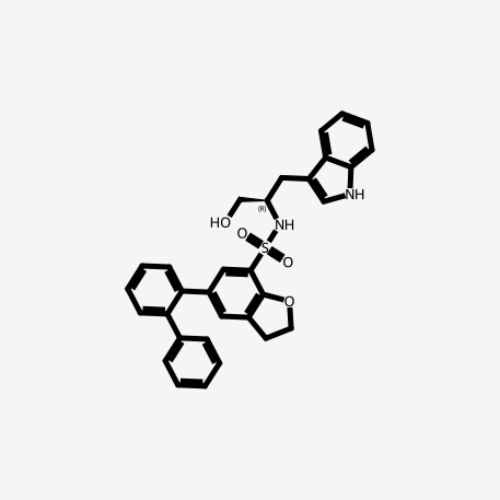 O=S(=O)(N[C@@H](CO)Cc1c[nH]c2ccccc12)c1cc(-c2ccccc2-c2ccccc2)cc2c1OCC2